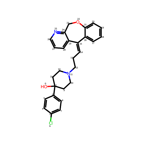 OC1(c2ccc(Cl)cc2)CCN(CCC=C2c3ccccc3OCc3ncccc32)CC1